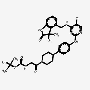 CC(C)(C)OC(=O)NCC(=O)N1CCC(c2ccc(Nc3ncc(Cl)c(NCc4cccc5c4C(C)(C)C(=O)N5)n3)cc2)CC1